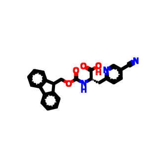 N#Cc1ccc(C[C@H](NC(=O)OCC2c3ccccc3-c3ccccc32)C(=O)O)nc1